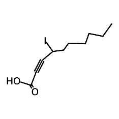 CCCCCCC(I)C#CC(=O)O